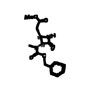 COC(=O)C[C@H]1NC(=O)[C@@H]1N(C)C(=O)OCc1ccccc1